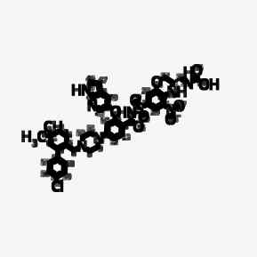 CC1(C)CCC(CN2CCN(c3ccc(C(=O)NS(=O)(=O)c4cc5c(c([N+](=O)[O-])c4)N[C@@H](CNC(=O)O)CO5)c(Oc4cnc5[nH]ccc5c4)c3)CC2)=C(c2ccc(Cl)cc2)C1